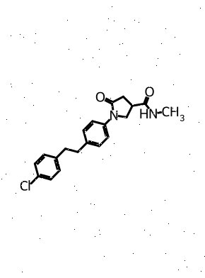 CNC(=O)C1CC(=O)N(c2ccc(CCc3ccc(Cl)cc3)cc2)C1